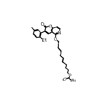 CCc1ccc(C)cc1-c1cc2c(OCCCCCCCCCCOC(=O)C(C)CC)nccc2oc1=O